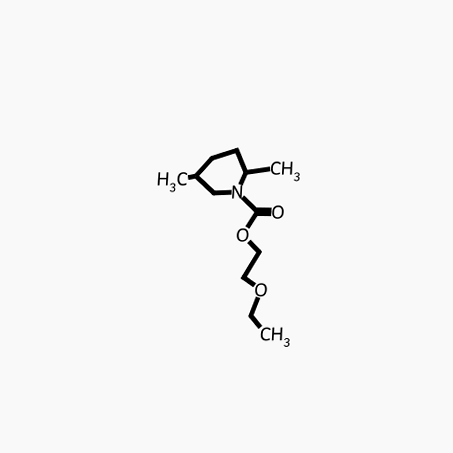 CCOCCOC(=O)N1CC(C)CCC1C